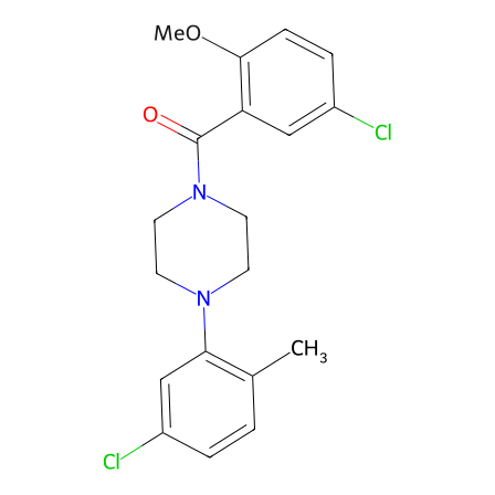 COc1ccc(Cl)cc1C(=O)N1CCN(c2cc(Cl)ccc2C)CC1